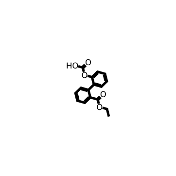 CCOC(=O)c1ccccc1-c1ccccc1OC(=O)O